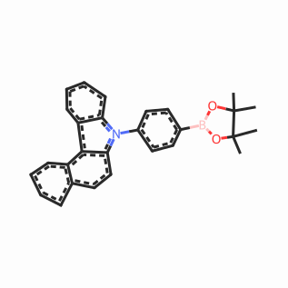 CC1(C)OB(c2ccc(-n3c4ccccc4c4c5ccccc5ccc43)cc2)OC1(C)C